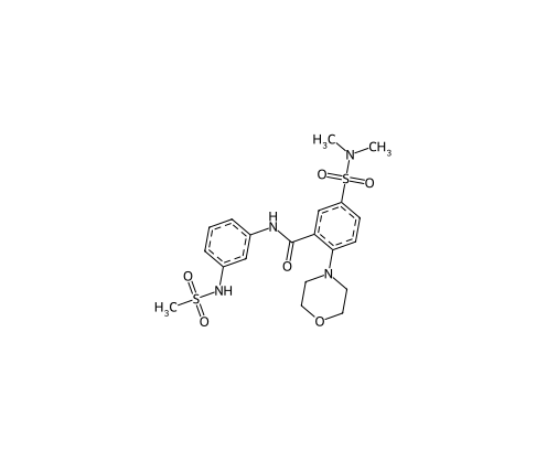 CN(C)S(=O)(=O)c1ccc(N2CCOCC2)c(C(=O)Nc2cccc(NS(C)(=O)=O)c2)c1